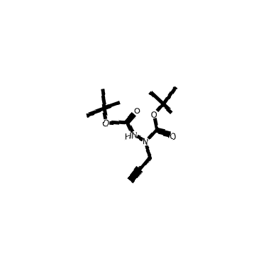 C#CCN(NC(=O)OC(C)(C)C)C(=O)OC(C)(C)C